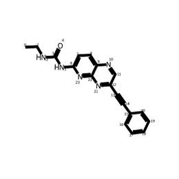 CCNC(=O)Nc1ccc2ncc(C#Cc3ccccc3)nc2n1